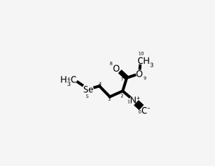 [C-]#[N+]C(CC[Se]C)C(=O)OC